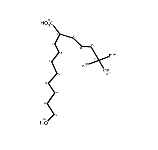 O=C(O)C(CCCCCCCCO)CCCC(F)(F)C(F)(F)F